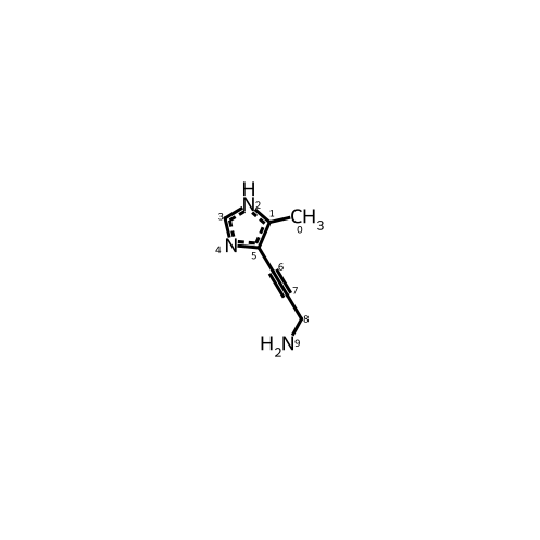 Cc1[nH]cnc1C#CCN